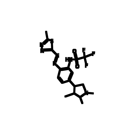 Cc1nnc(N=Nc2ccc(C3CN(C)C(C)C3C)cc2NS(=O)(=O)C(F)(F)F)s1